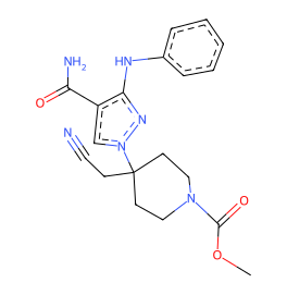 COC(=O)N1CCC(CC#N)(n2cc(C(N)=O)c(Nc3ccccc3)n2)CC1